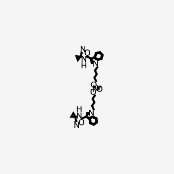 N#CC1(NC(=O)c2cn(CCCCCO[N+](=O)OCCCCCn3cc(C(=O)NC4(C#N)CC4)c4ccccc43)c3ccccc23)CC1